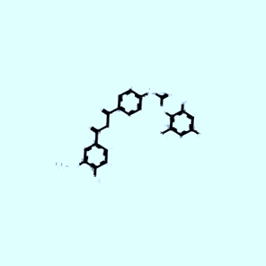 COc1cc(C(=O)CC(=O)c2ccc(NC(=O)Oc3c(Cl)cc(Cl)cc3Cl)cc2)ccc1O